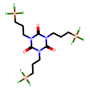 O=c1n(CCCS(F)(F)F)c(=O)n(CCCS(F)(F)F)c(=O)n1CCCS(F)(F)F